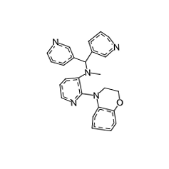 CN(c1cccnc1N1CCOc2ccccc21)C(c1cccnc1)c1cccnc1